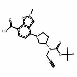 C#CCN(C(=O)OC(C)(C)C)[C@H]1CCN(c2ccc(C(=O)O)c3nn(C)cc23)C1